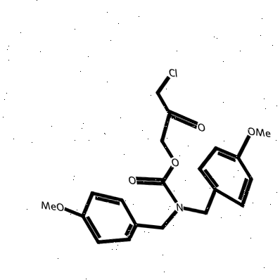 COc1ccc(CN(Cc2ccc(OC)cc2)C(=O)OCC(=O)CCl)cc1